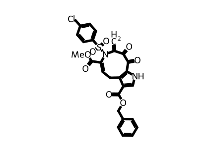 C=C1C(=O)C(=O)c2[nH]cc(C(=O)OCc3ccccc3)c2C/C=C(/C(=O)OC)N1S(=O)(=O)c1ccc(Cl)cc1